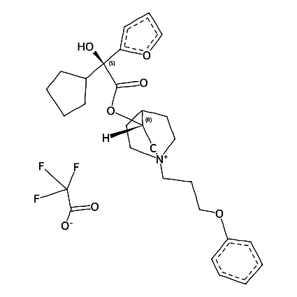 O=C(O[C@H]1C[N+]2(CCCOc3ccccc3)CCC1CC2)[C@@](O)(c1ccco1)C1CCCC1.O=C([O-])C(F)(F)F